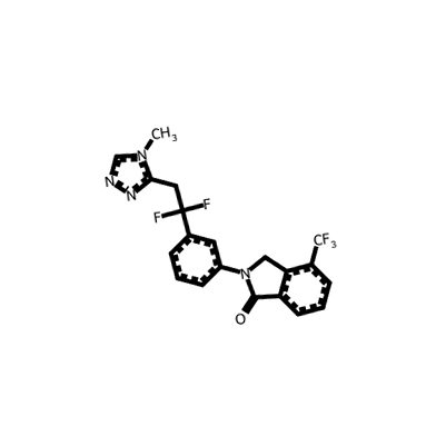 Cn1cnnc1CC(F)(F)c1cccc(N2Cc3c(cccc3C(F)(F)F)C2=O)c1